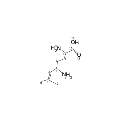 CC(C)=CC(N)CCC(N)C(=O)O